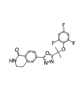 CC(C)(Oc1c(F)cc(F)cc1F)c1nnc(-c2ccc3c(c2)CCNC3=O)o1